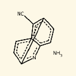 N.N#Cc1c2ccc3nc2ccc13